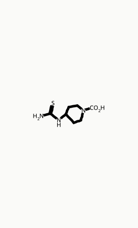 NC(=S)NC1CCN(C(=O)O)CC1